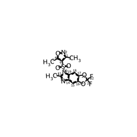 Cc1noc(C)c1S(=O)(=O)n1c(C)nc2cc3c(cc21)OC(F)(F)O3